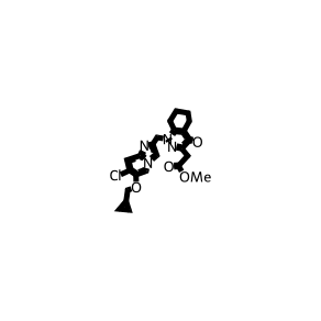 COC(=O)Cc1nn(Cc2cn3cc(OCC4CC4)c(Cl)cc3n2)c2c(c1=O)CCCC2